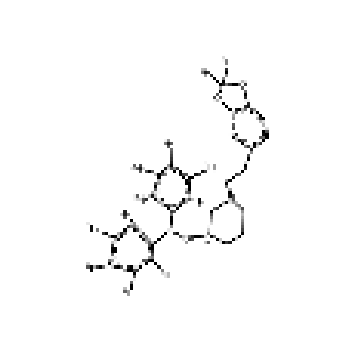 [2H]c1c([2H])c([2H])c(C(O[C@@H]2CCCN(CCc3ccc4c(c3)OC([2H])([2H])O4)C2)c2c([2H])c([2H])c([2H])c([2H])c2[2H])c([2H])c1[2H]